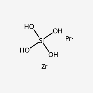 O[Si](O)(O)O.[Pr].[Zr]